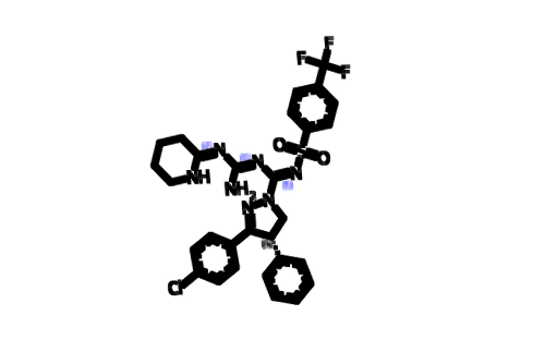 NC(/N=C1/CCCCN1)=N\C(=N/S(=O)(=O)c1ccc(C(F)(F)F)cc1)N1C[C@H](c2ccccc2)C(c2ccc(Cl)cc2)=N1